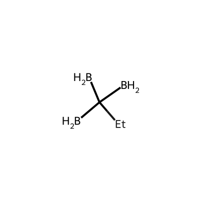 BC(B)(B)CC